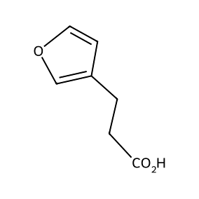 O=C(O)CCc1ccoc1